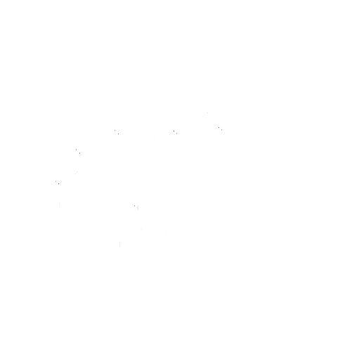 CNC(=O)NS(=O)(=O)N1CCCC(CCCNC(C)=O)(NC(=O)c2cc3c(Cl)c(F)ccc3n2C)C1